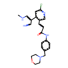 CN/C=C(\C=N)c1cc(Cl)ncc1/C=C/C(=O)Nc1ccc(CN2CCOCC2)cc1